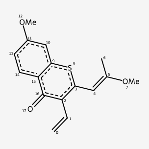 C=Cc1c(/C=C(\C)OC)sc2cc(OC)ccc2c1=O